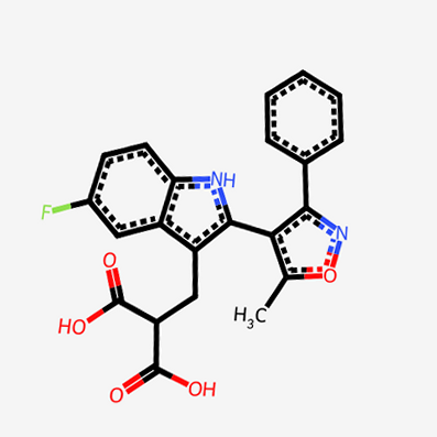 Cc1onc(-c2ccccc2)c1-c1[nH]c2ccc(F)cc2c1CC(C(=O)O)C(=O)O